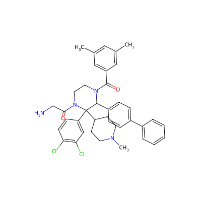 Cc1cc(C)cc(C(=O)N2CCN(C(=O)CN)C(c3ccc(Cl)c(Cl)c3)(C3CCN(C)CC3)C2c2ccc(-c3ccccc3)cc2)c1